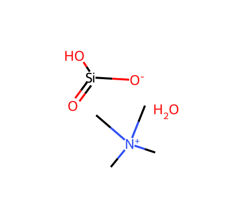 C[N+](C)(C)C.O.O=[Si]([O-])O